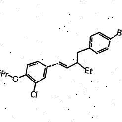 CCC(C=Cc1ccc(OC(C)C)c(Cl)c1)Cc1ccc(Br)cc1